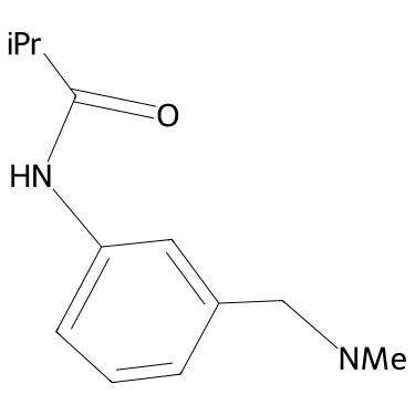 CNCc1cccc(NC(=O)C(C)C)c1